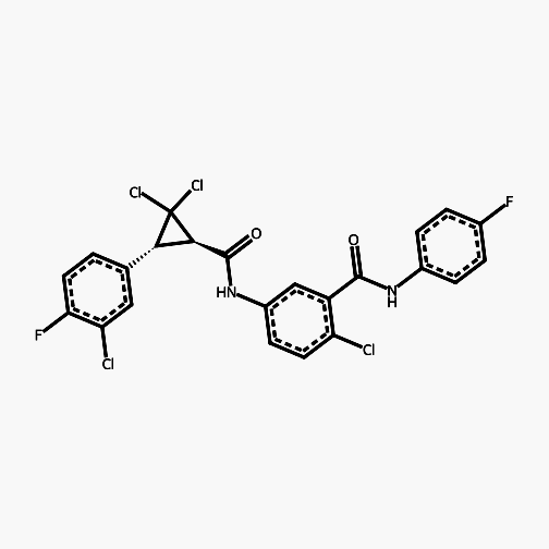 O=C(Nc1ccc(F)cc1)c1cc(NC(=O)[C@H]2[C@H](c3ccc(F)c(Cl)c3)C2(Cl)Cl)ccc1Cl